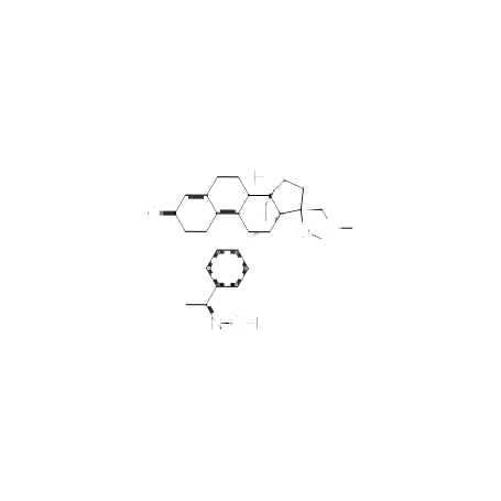 COC[C@]1(OC)CC[C@H]2[C@@H]3CCC4=CC(=O)CCC4=C3[C@@H](c3ccc(/C(C)=N\O)cc3)C[C@@]21C